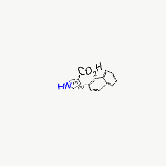 O=C(O)[C@@H]1CNC[C@H]1c1ccc2ccccc2c1